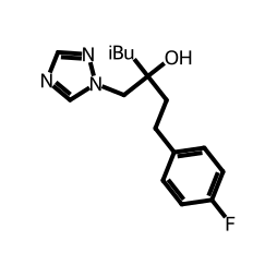 CCC(C)C(O)(CCc1ccc(F)cc1)Cn1cncn1